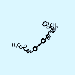 CCOC(=O)CC1CN(Cc2ccc(C#Cc3ccc(-c4cc(Cn5ccnc5[C@H](C)OC5CCCCO5)no4)cc3)cc2)C1